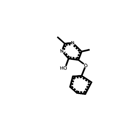 Cc1nc(C)c(Oc2ccccc2)c(O)n1